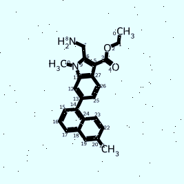 CCOC(=O)c1c(CN)n(C)c2cc(-c3cccc4cc(C)ccc34)ccc12